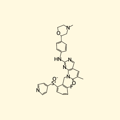 Cc1cc2cnc(Nc3ccc(C4CN(C)CCO4)cc3)nc2n(Cc2c(F)cccc2[S+]([O-])c2ccncc2)c1=O